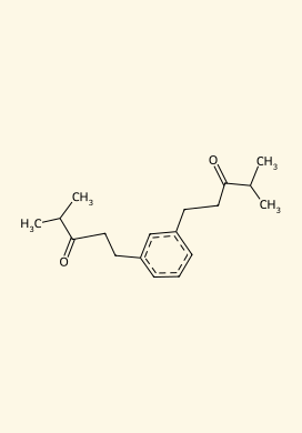 CC(C)C(=O)CCc1cccc(CCC(=O)C(C)C)c1